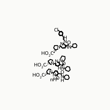 CCCOc1nc(N2CCC[C@@H](CC(=O)O)C2)ccc1C(=O)NC1CCCCC1.O=C(O)C[C@@H]1CCCN(c2ccc(C(=O)NC3CCCCC3)c(N3CCCCC3)n2)C1.O=C(O)C[C@@H]1CCCN(c2ccc(C(=O)NC3CCCCC3)c(NCCc3ccc(Cl)cc3)n2)C1